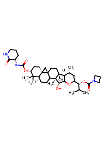 CC(C)[C@@H](OC(=O)N1CCC1)C1C[C@@H](C)[C@H]2C(O1)[C@H](O)[C@@]1(C)C3CC[C@H]4C(C)(C)[C@@H](OC(=O)N[C@H]5CCCNC5=O)CC[C@@]45C[C@@]35CC[C@]21C